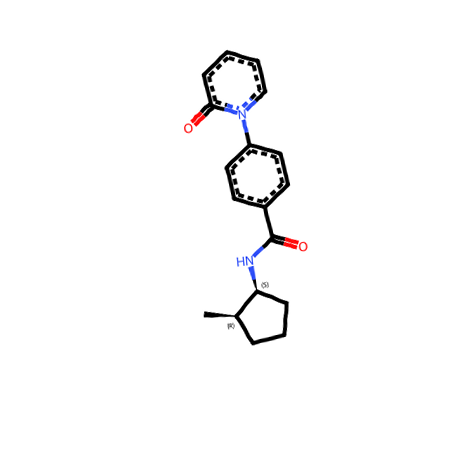 C[C@@H]1CCC[C@@H]1NC(=O)c1ccc(-n2ccccc2=O)cc1